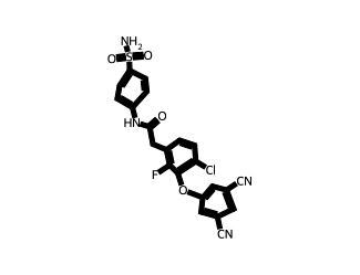 N#Cc1cc(C#N)cc(Oc2c(Cl)ccc(CC(=O)Nc3ccc(S(N)(=O)=O)cc3)c2F)c1